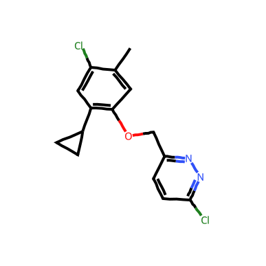 Cc1cc(OCc2ccc(Cl)nn2)c(C2CC2)cc1Cl